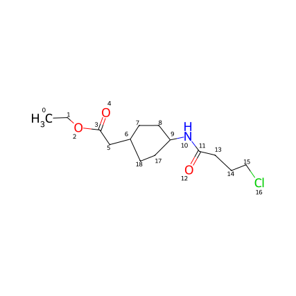 CCOC(=O)CC1CCC(NC(=O)CCCCl)CC1